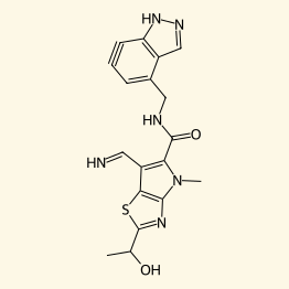 CC(O)c1nc2c(s1)c(C=N)c(C(=O)NCc1cc#cc3[nH]ncc13)n2C